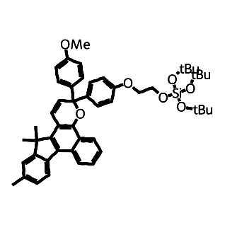 COc1ccc(C2(c3ccc(OCCO[Si](OC(C)(C)C)(OC(C)(C)C)OC(C)(C)C)cc3)C=Cc3c4c(c5ccccc5c3O2)-c2ccc(C)cc2C4(C)C)cc1